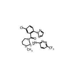 C[C@@H]1CCCN(C(=O)c2cc(Cl)ccc2-n2nccn2)[C@@H]1CNc1ccc(C(F)(F)F)nn1